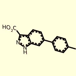 O=C(O)c1n[nH]c2cc(-c3ccc(I)cc3)ccc12